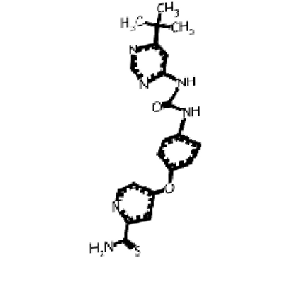 CC(C)(C)c1cc(NC(=O)Nc2ccc(Oc3ccnc(C(N)=S)c3)cc2)ncn1